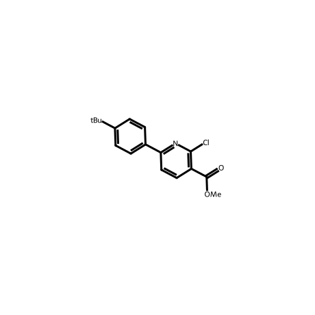 COC(=O)c1ccc(-c2ccc(C(C)(C)C)cc2)nc1Cl